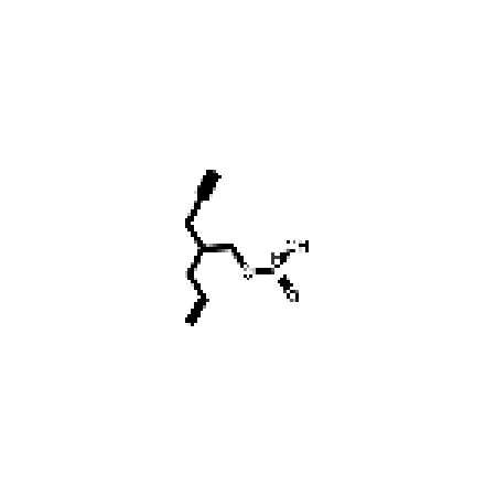 C#CCC(CC=C)CO[PH](=O)O